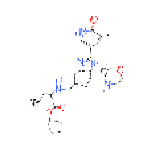 Cc1cc(-c2nc3cc(CNC(CC(C)C)C(=O)OC4CCCC4)ccc3n2C[C@H]2CN(C)CCO2)c[nH]c1=O